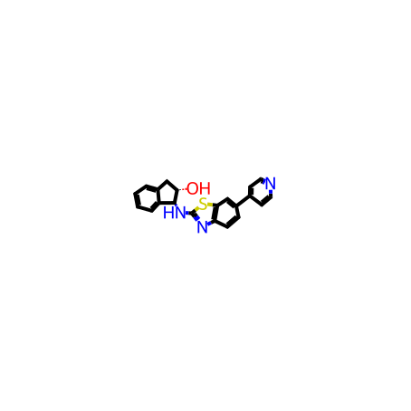 O[C@H]1Cc2ccccc2[C@@H]1Nc1nc2ccc(-c3ccncc3)cc2s1